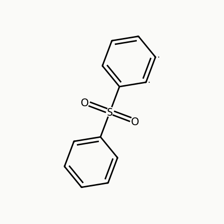 O=S(=O)(c1[c][c]ccc1)c1ccccc1